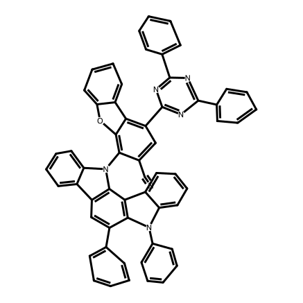 N#Cc1cc(-c2nc(-c3ccccc3)nc(-c3ccccc3)n2)c2c(oc3ccccc32)c1-n1c2ccccc2c2cc(-c3ccccc3)c3c(c4ccccc4n3-c3ccccc3)c21